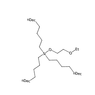 CCCCCCCCCCCCCC[Si](CCCCCCCCCCCCCC)(CCCCCCCCCCCCCC)OCCOCC